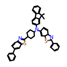 CC1(C)c2ccccc2-c2ccc(N(C3=CC4SC(c5ccccc5)=NC4C=C3)C3CCC(c4nc5ccc(-c6ccccc6)cc5s4)CC3)cc21